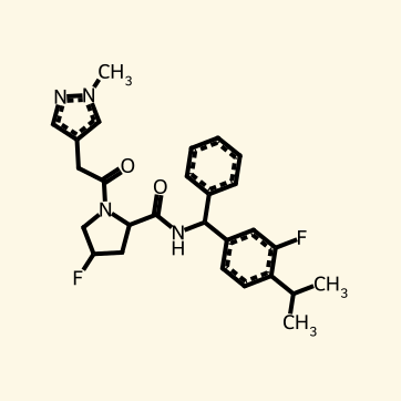 CC(C)c1ccc(C(NC(=O)C2CC(F)CN2C(=O)Cc2cnn(C)c2)c2ccccc2)cc1F